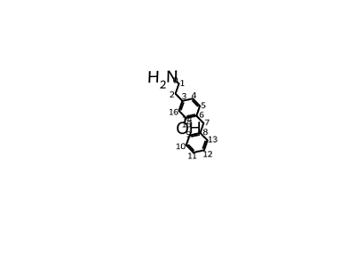 NCCc1ccc(Cc2ccccc2)c(O)c1